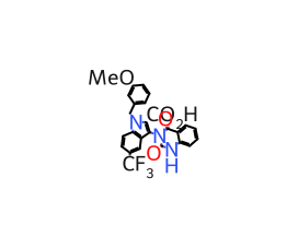 COc1cccc(Cn2c(C(=O)O)c(-n3c(=O)[nH]c4ccccc4c3=O)c3cc(C(F)(F)F)ccc32)c1